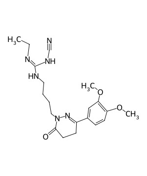 CC/N=C(\NC#N)NCCCCN1N=C(c2ccc(OC)c(OC)c2)CCC1=O